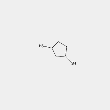 SC1[CH]C(S)CC1